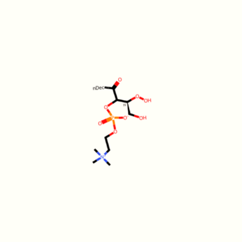 CCCCCCCCCCC(=O)C(OP(=O)([O-])OCC[N+](C)(C)C)[C@H](CO)OO